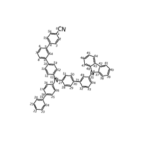 N#Cc1ccc(-c2cccc(-c3ccc(N(c4ccc(-c5ccccc5)cc4)c4ccc(-c5cccc(-n6c7ccccc7c7ccccc76)c5)cc4)cc3)c2)cc1